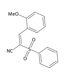 COc1ccccc1/C=C(/C#N)S(=O)(=O)c1ccccc1